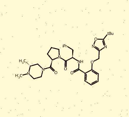 CC(C)C[C@@H](NC(=O)c1ccccc1OCc1noc(C(C)(C)C)n1)C(=O)N1CCC[C@@H]1C(=O)N1CCN(C)[C@H](C)C1